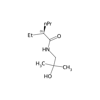 CCC[C@H](CC)C(=O)NCC(C)(C)O